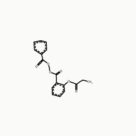 CCC(=O)Oc1ccccc1C(=O)OOC(=O)c1ccccc1